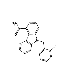 NC(=O)c1cccc2c1c1[c]cccc1n2Cc1ccccc1F